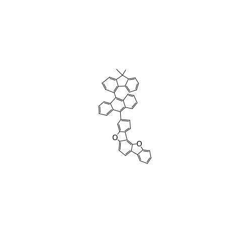 CC1(C)c2ccccc2-c2c(-c3c4ccccc4c(-c4ccc5c(c4)oc4ccc6c7ccccc7oc6c45)c4ccccc34)cccc21